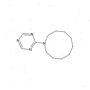 c1ncnc(N2CCCCCCCCC2)n1